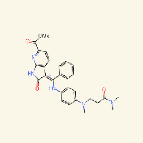 COC(=O)c1ccc2c(n1)NC(=O)/C2=C(\Nc1ccc(N(C)CCC(=O)N(C)C)cc1)c1ccccc1